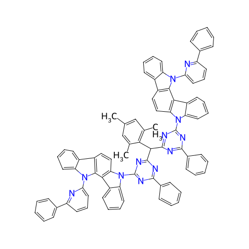 Cc1cc(C)c(C(c2nc(-c3ccccc3)nc(-n3c4ccccc4c4c3ccc3c5ccccc5n(-c5cccc(-c6ccccc6)n5)c34)n2)c2nc(-c3ccccc3)nc(-n3c4ccccc4c4c3ccc3c5ccccc5n(-c5cccc(-c6ccccc6)n5)c34)n2)c(C)c1